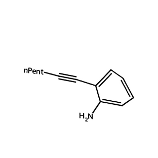 CCCCCC#Cc1ccccc1N